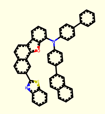 c1ccc(-c2ccc(N(c3ccc(-c4ccc5ccccc5c4)cc3)c3cccc4c3oc3c5cc(-c6nc7ccccc7s6)ccc5ccc43)cc2)cc1